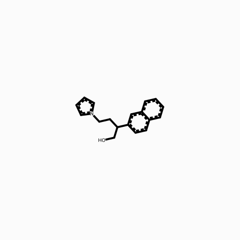 OCC(CCn1cccc1)c1ccc2ccccc2c1